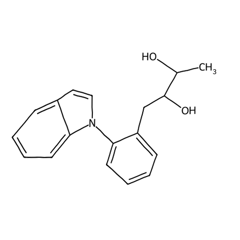 CC(O)C(O)Cc1ccccc1-n1ccc2ccccc21